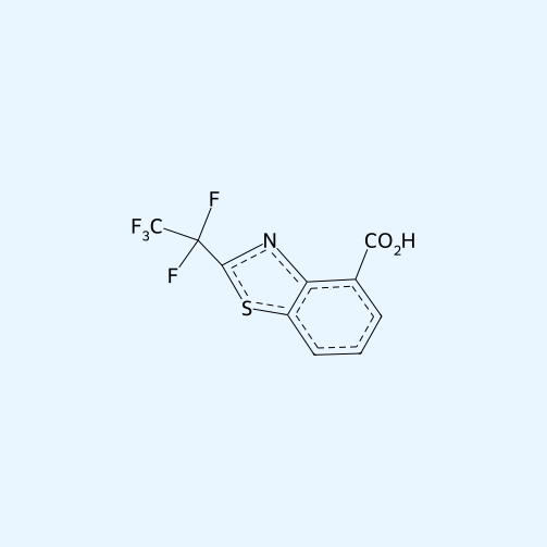 O=C(O)c1cccc2sc(C(F)(F)C(F)(F)F)nc12